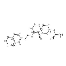 O=C(O)CN1CCC2(CCCN(CCCc3ccc4c(n3)NCCC4)C2=O)CC1